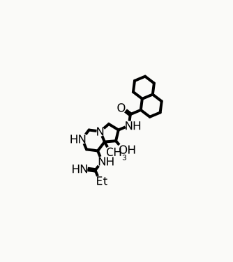 CCC(=N)NC1CNCN2CC(NC(=O)C3CCCC4CCCCC43)C(O)C12C